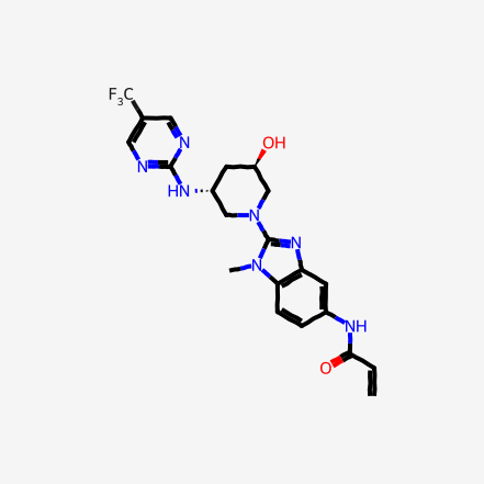 C=CC(=O)Nc1ccc2c(c1)nc(N1C[C@H](O)C[C@@H](Nc3ncc(C(F)(F)F)cn3)C1)n2C